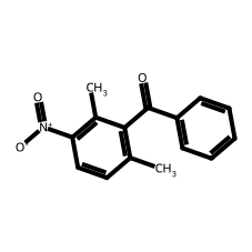 Cc1ccc([N+](=O)[O-])c(C)c1C(=O)c1ccccc1